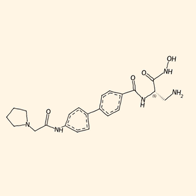 NC[C@H](NC(=O)c1ccc(-c2ccc(NC(=O)CN3CCCC3)cc2)cc1)C(=O)NO